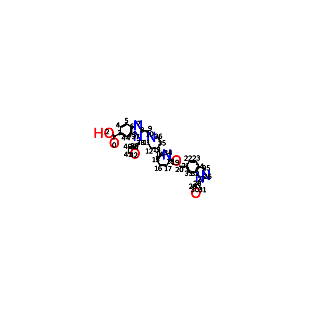 O=C(O)c1ccc2nc(CN3CCC(c4cccc(OCc5ccc6cnn(C7COC7)c6c5)n4)CC3)n(C[C@@H]3CCO3)c2c1